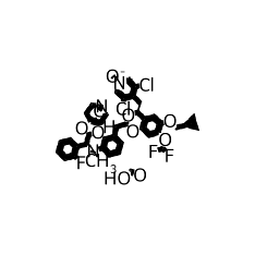 CN(c1cccc(CC(=O)O[C@@H](Cc2c(Cl)c[n+]([O-])cc2Cl)c2ccc(OC(F)F)c(OCC3CC3)c2)c1)C(C(=O)O[C@H]1CN2CCC1CC2)c1ccccc1F.O=CO